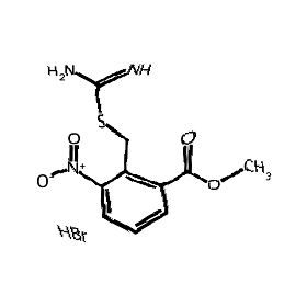 Br.COC(=O)c1cccc([N+](=O)[O-])c1CSC(=N)N